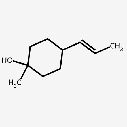 CC=CC1CCC(C)(O)CC1